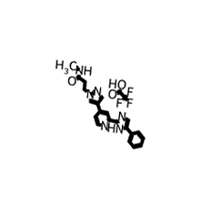 CNC(=O)CCn1cc(-c2ccnc(-c3ncc(-c4ccccc4)[nH]3)c2)cn1.O=C(O)C(F)(F)F